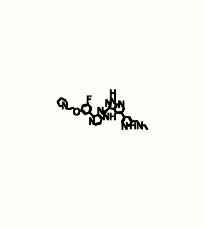 CCNCc1cncc(-c2cnc3[nH]nc(-c4nc5c(-c6cc(F)cc(OCCN7CCCC7)c6)nccc5[nH]4)c3c2)c1